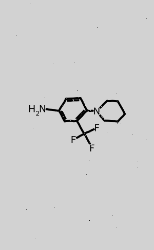 Nc1ccc(N2CCCCC2)c(C(F)(F)F)c1